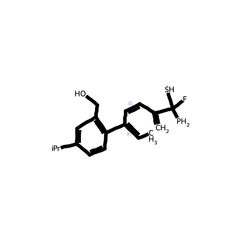 C=C(/C=C\C(=C/C)c1ccc(C(C)C)cc1CO)C(F)(P)S